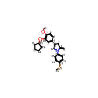 C=C1C[C@H](c2ccc(OC)c(OC3CCCC3)c2)CN1c1ccc(SC)cc1